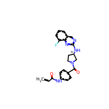 C=CC(=O)Nc1ccc(C(=O)N2CC[C@@H](Nc3ncc4cccc(F)c4n3)C2)cc1